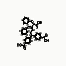 CC(O)C(Oc1ccccc1)N(CCC(c1ccc(C(=O)O)cc1)c1ccc(C(=O)O)cc1)Cc1ccccc1